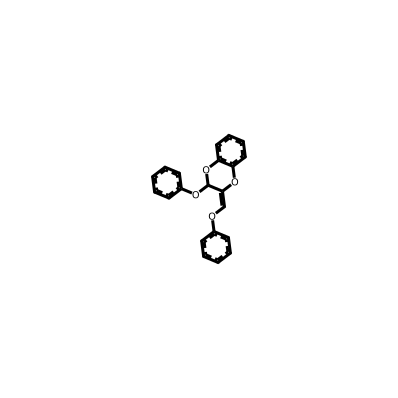 C(Oc1ccccc1)=C1Oc2ccccc2OC1Oc1ccccc1